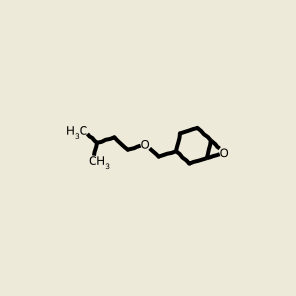 CC(C)CCOCC1CCC2OC2C1